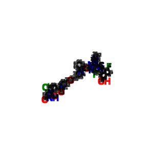 C#Cc1c(F)ccc2cc(O)cc(-c3ncc4c(N5CC6CCC(C5)N6)nc(OCC5(CN6CCC(CCOCC7CCN(C(=O)c8ccc(Cl)c(N9CCC(=O)NC9=O)c8)CC7)CC6)CCCCC5)nc4c3F)c12